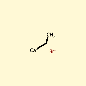 C[CH2][Ca+].[Br-]